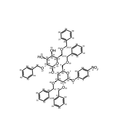 O=[N+]([O-])c1ccc(O[C@@H]2O[C@H](COCc3ccccc3)[C@@H](O[C@@H]3O[C@H](COCc4ccccc4)[C@H](O)[C@H](O)[C@H]3OCc3ccccc3)[C@H](OCc3ccccc3)[C@H]2OCc2ccccc2)cc1